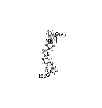 CC(C)(C)OC(=O)N1CCC[C@H]1C1=Nc2cc(-c3ccc(-c4ccc5[nH]c([C@@H]6CCCN6C(=O)OC(C)(C)C)nc5c4)s3)ccc2C1